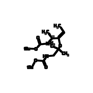 CC=C(OC(C)(C)CNC(=O)OC(C)(C)C)[C@H](C)NC(=O)OC(C)(C)C